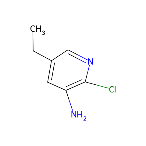 CCc1cnc(Cl)c(N)c1